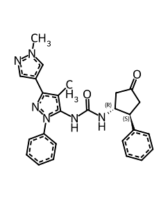 Cc1c(-c2cnn(C)c2)nn(-c2ccccc2)c1NC(=O)N[C@@H]1CC(=O)C[C@H]1c1ccccc1